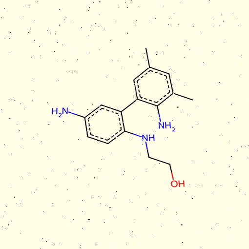 Cc1cc(C)c(N)c(-c2cc(N)ccc2NCCO)c1